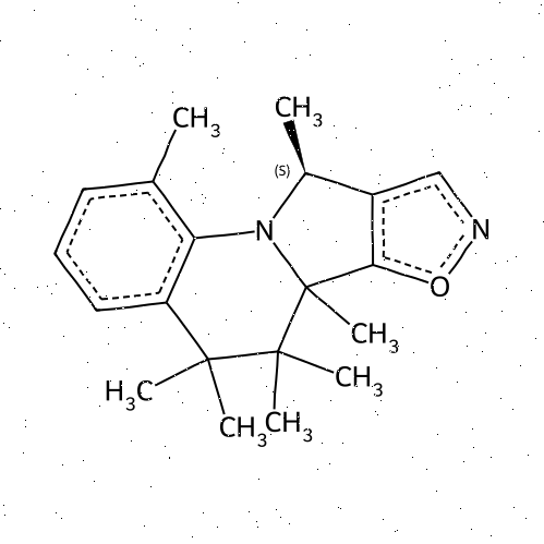 Cc1cccc2c1N1[C@@H](C)c3cnoc3C1(C)C(C)(C)C2(C)C